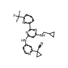 N#CC1(c2cc(Nc3cc(NCC4CC4)nc(-c4cccc(C(F)(F)F)n4)n3)ccn2)CC1